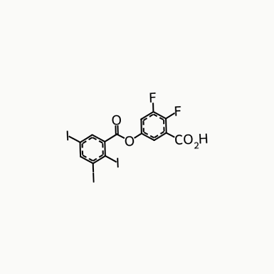 O=C(O)c1cc(OC(=O)c2cc(I)cc(I)c2I)cc(F)c1F